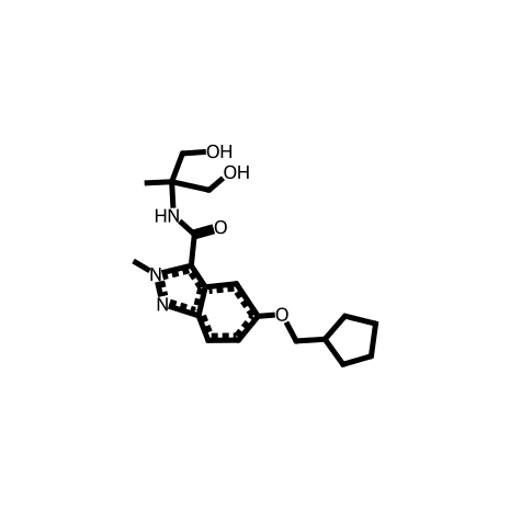 Cn1nc2ccc(OCC3CCCC3)cc2c1C(=O)NC(C)(CO)CO